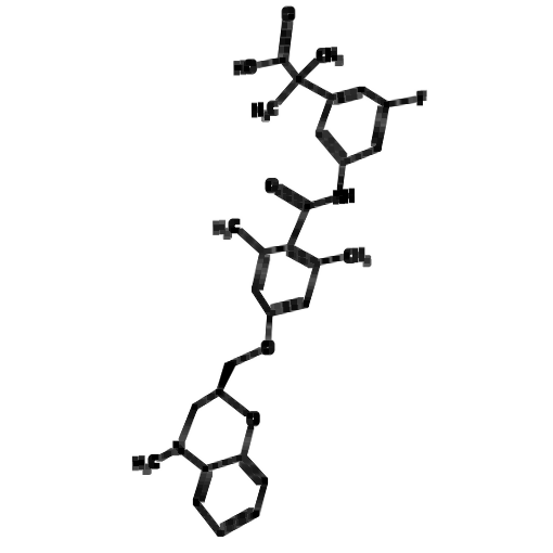 Cc1cc(OC[C@@H]2CN(C)c3ccccc3O2)cc(C)c1C(=O)Nc1cc(F)cc(C(C)(C)C(=O)O)c1